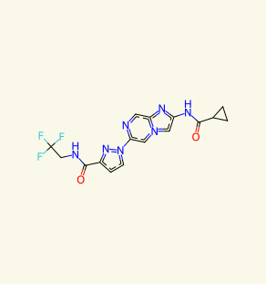 O=C(NCC(F)(F)F)c1ccn(-c2cn3cc(NC(=O)C4CC4)nc3cn2)n1